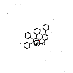 c1ccc(-c2ccc3oc4ccccc4c3c2-c2ncccc2-c2nnnc(-c3ccccc3)c2-c2ccccc2)cc1